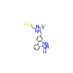 CC(C)(C)c1nc(CCS)nn1Cc1ccc(-c2ccccc2-c2nnn[nH]2)cc1